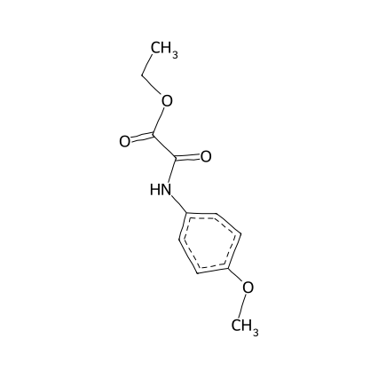 CCOC(=O)C(=O)Nc1ccc(OC)cc1